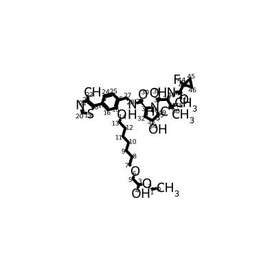 CCOC(O)COCCCCCCCOc1cc(-c2scnc2C)ccc1CNC(=O)[C@@H]1C[C@@H](O)CN1C(=O)[C@@H](NC(=O)C1(F)CC1)C(C)(C)C